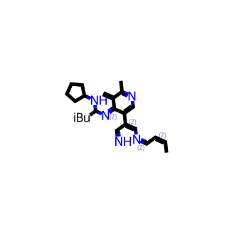 C=C1C(C)=NC=C(/C(C=N)=C/N=C\C=C/C)/C1=N/C(NC1CCCC1)C(C)CC